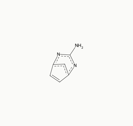 Nc1nc2cc(n1)C=C2